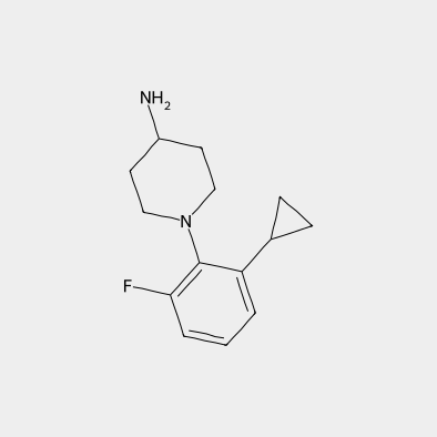 NC1CCN(c2c(F)cccc2C2CC2)CC1